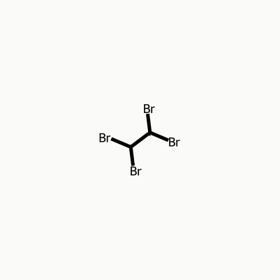 Br[C](Br)C(Br)Br